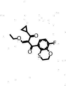 CCOC=C(C(=O)c1ccc(F)c2c1SCCO2)C(=O)C1CC1